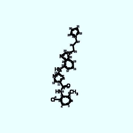 Cc1cccc(Cl)c1NC(=O)c1cnc(Nc2cccc3c2ncn3CCCn2cccc2)s1